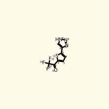 O=C(c1ccc(-c2c[nH]nn2)s1)C(F)(F)F